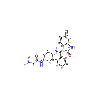 CN(C)CC(=O)N[C@H]1CC[C@H](NC(=C2C(=O)Nc3cc(Cl)ccc32)c2ccccc2)CC1